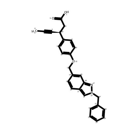 CC#C[C@@H](CC(=O)O)c1ccc(OCc2ccc3cn(Cc4ccccc4)nc3c2)cc1